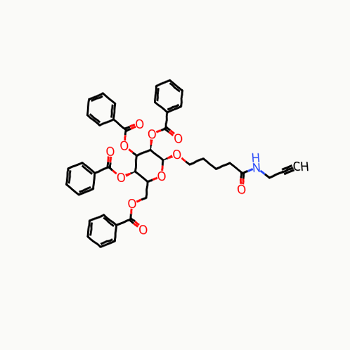 C#CCNC(=O)CCCCO[C@H]1OC(COC(=O)c2ccccc2)[C@@H](OC(=O)c2ccccc2)C(OC(=O)c2ccccc2)[C@H]1OC(=O)c1ccccc1